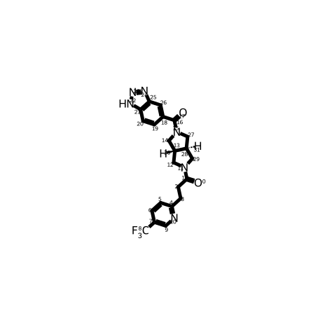 O=C(CCc1ccc(C(F)(F)F)cn1)N1C[C@@H]2CN(C(=O)c3ccc4[nH]nnc4c3)C[C@H]2C1